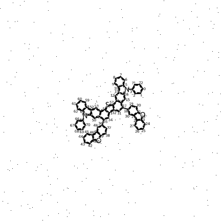 c1ccc(-n2c3ccccc3c3cc4c(cc32)c(-c2ccc3oc5ccccc5c3c2)cc2c3cc(-c5ccc6oc7ccccc7c6c5)c5cc6c(cc5c3sc42)c2ccccc2n6-c2ccccc2)cc1